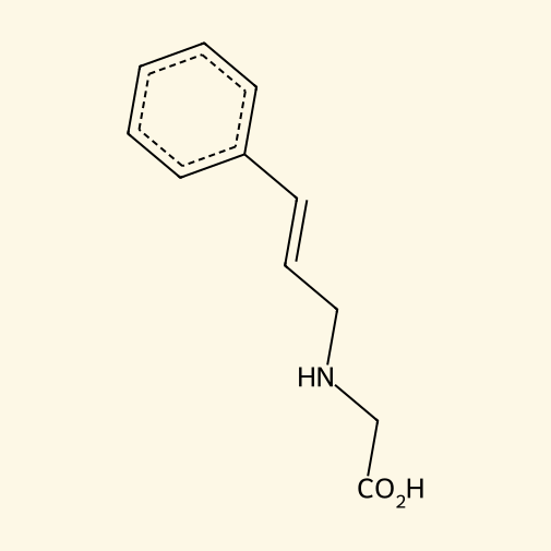 O=C(O)CNCC=Cc1ccccc1